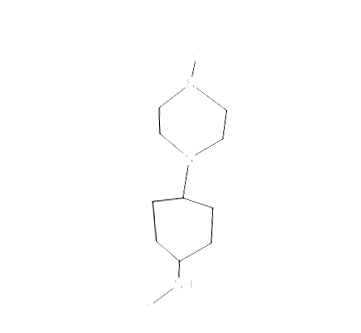 CC(C)NC1CCC(N2CCN(C)CC2)CC1